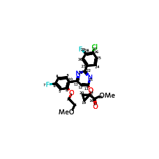 COCCOc1cc(F)ccc1-c1cc(OC2(C(=O)OC)CC2)nc(-c2ccc(Cl)c(F)c2)n1